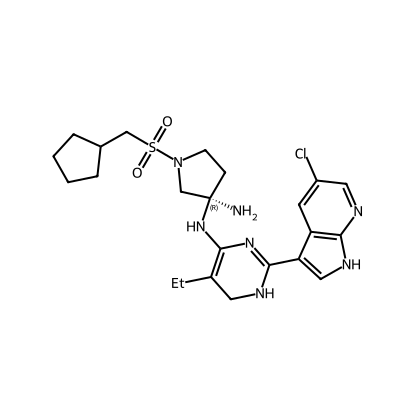 CCC1=C(N[C@]2(N)CCN(S(=O)(=O)CC3CCCC3)C2)N=C(c2c[nH]c3ncc(Cl)cc23)NC1